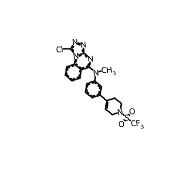 CN(c1cccc(C2=CCN(S(=O)(=O)C(F)(F)F)CC2)c1)c1nc2nnc(Cl)n2c2ccccc12